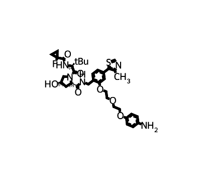 Cc1ncsc1-c1ccc(CNC(=O)[C@@H]2C[C@@H](O)CN2C(=O)[C@@H](NC(=O)C2(F)CC2)C(C)(C)C)c(OCCOCCOc2ccc(N)cc2)c1